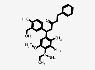 CCN(N)c1c(OC)cc(C(CC(=O)CCc2ccccc2)c2ccc(C)c(CO)c2)c(C)c1N